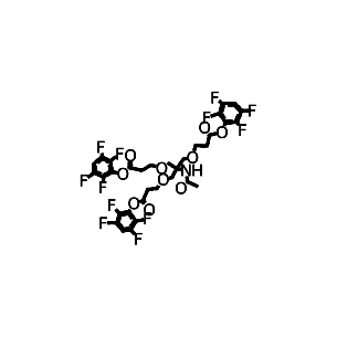 CC(=O)NC(COCCC(=O)Oc1c(F)c(F)cc(F)c1F)(COCCC(=O)Oc1c(F)c(F)cc(F)c1F)COCCC(=O)Oc1c(F)c(F)cc(F)c1F